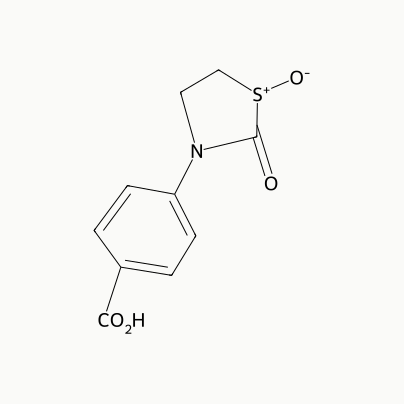 O=C(O)c1ccc(N2CC[S+]([O-])C2=O)cc1